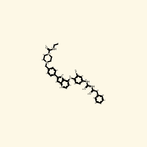 CCNC(=O)N1CCN(Cc2ccc(-c3cc4nccc(Oc5ccc(NC(=S)NC(=O)Cc6ccccc6)cc5F)c4s3)cc2)CC1